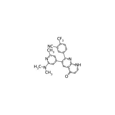 Cc1cc(-c2cc3c(=O)cc[nH]c3nc2-c2ccc(C(F)(F)F)c(C#N)c2)cc(N(C)C)n1